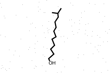 C[C](C)CCCCCCCCCCO